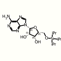 CC(C)[Si](OC[C@H]1O[C@@H](n2cnc3c(N)ncnc32)[C@@H](O)[C@H]1O)(C(C)C)C(C)C